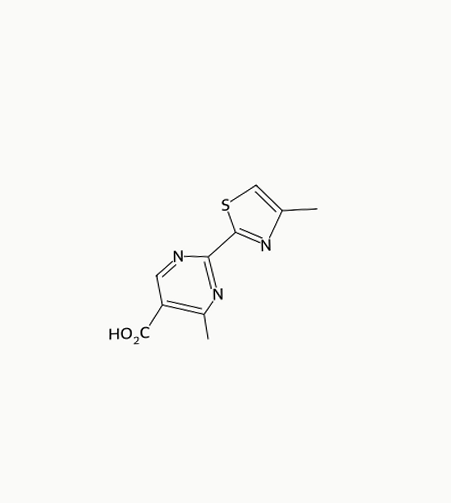 Cc1csc(-c2ncc(C(=O)O)c(C)n2)n1